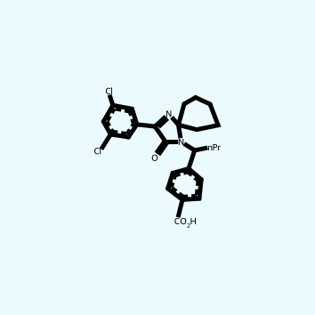 CCCC(c1ccc(C(=O)O)cc1)N1C(=O)C(c2cc(Cl)cc(Cl)c2)=NC12CCCCC2